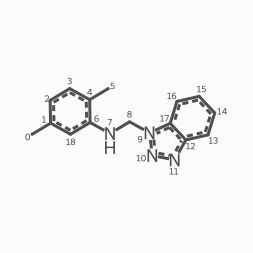 Cc1ccc(C)c(NCn2nnc3ccccc32)c1